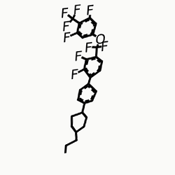 CCCC1CCC(c2ccc(-c3ccc(C(F)(F)Oc4cc(F)c(C(F)(F)F)c(F)c4)c(F)c3F)cc2)CC1